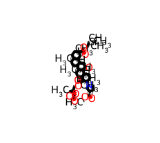 CCOC(=O)[C@@H]1CCN([C@H]2CC[C@@]3(C)[C@@H](CC[C@]4(C)[C@@H]3C(=O)C=C3[C@@H]5C[C@@](C)(C(=O)OCC[Si](C)(C)C)CC[C@]5(C)CC[C@]34C)[C@]2(C)C(=O)OCc2oc(=O)oc2C)C1